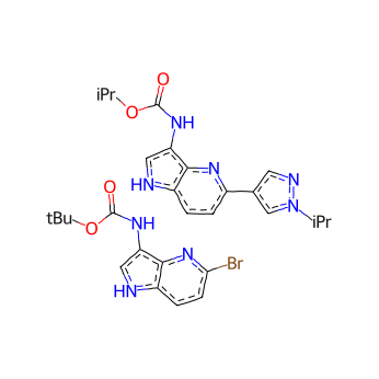 CC(C)(C)OC(=O)Nc1c[nH]c2ccc(Br)nc12.CC(C)OC(=O)Nc1c[nH]c2ccc(-c3cnn(C(C)C)c3)nc12